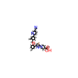 Cc1ccc(OCc2ccc(-c3ccc(C#N)cn3)cc2C)c(C2CSC(N3CCC(C(=O)O)CC3)=N2)c1